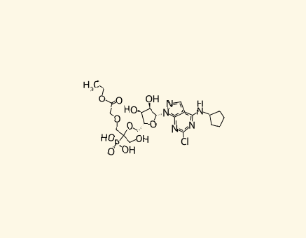 CCOC(=O)COCC(CO)(OC[C@H]1O[C@@H](n2ncc3c(NC4CCCC4)nc(Cl)nc32)[C@H](O)[C@@H]1O)P(=O)(O)O